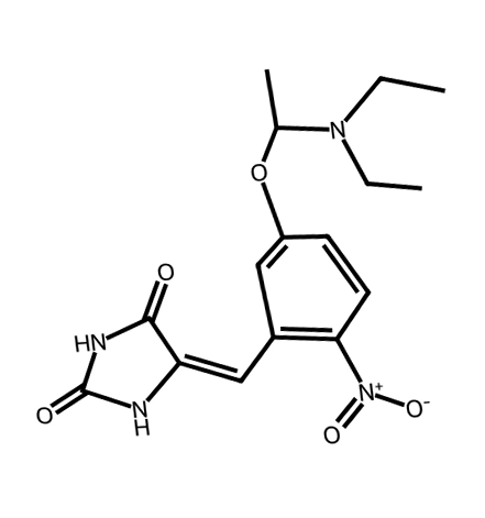 CCN(CC)C(C)Oc1ccc([N+](=O)[O-])c(C=C2NC(=O)NC2=O)c1